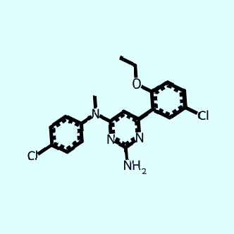 CCOc1ccc(Cl)cc1-c1cc(N(C)c2ccc(Cl)cc2)nc(N)n1